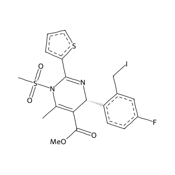 COC(=O)C1=C(C)N(S(C)(=O)=O)C(c2cccs2)=N[C@@H]1c1ccc(F)cc1CI